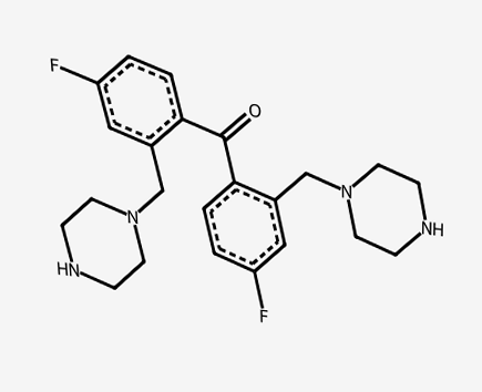 O=C(c1ccc(F)cc1CN1CCNCC1)c1ccc(F)cc1CN1CCNCC1